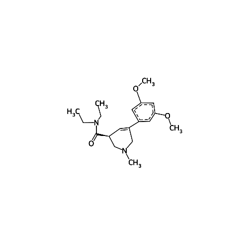 CCN(CC)C(=O)[C@H]1C=C(c2cc(OC)cc(OC)c2)CN(C)C1